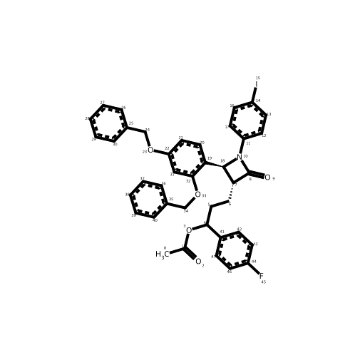 CC(=O)OC(CC[C@H]1C(=O)N(c2ccc(I)cc2)[C@@H]1c1ccc(OCc2ccccc2)cc1OCc1ccccc1)c1ccc(F)cc1